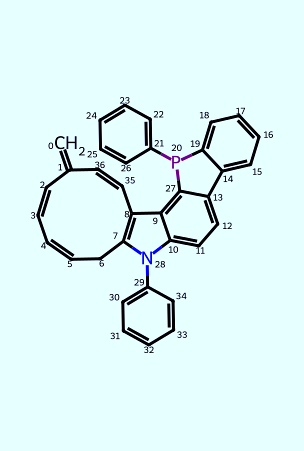 C=C1/C=C\C=C/Cc2c(c3c(ccc4c5ccccc5p(-c5ccccc5)c43)n2-c2ccccc2)/C=C\1